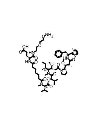 CC[C@H](C)[C@@H]([C@@H](CC(=O)N1CCC[C@H]1[C@H](OC)[C@@H](C)C(=O)N[C@@H](Cc1ccccc1)c1nccs1)OC)N(C)C(=O)[C@@H](NC(=O)[C@H](C(C)C)N(C)C(=O)CCCCCC(=O)N[C@@H](CCC(=O)O)C(=O)NCCOCCON)C(C)C